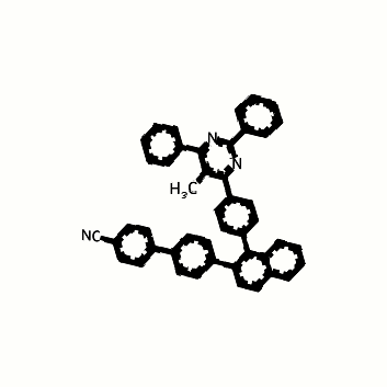 Cc1c(-c2ccccc2)nc(-c2ccccc2)nc1-c1ccc(-c2c(-c3ccc(-c4ccc(C#N)cc4)cc3)ccc3ccccc23)cc1